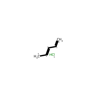 C=CC=CC.Cl